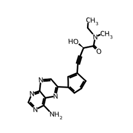 CCN(C)C(=O)[C@H](O)C#Cc1cccc(-c2cnc3ncnc(N)c3n2)c1